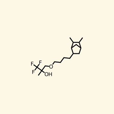 CC1C2CC(CCCCOCC(C)(O)C(F)(F)F)C(C2)C1C